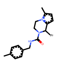 Cc1ccc(CNC(=O)N2CCn3c(C)ccc3C2C(C)C)cc1